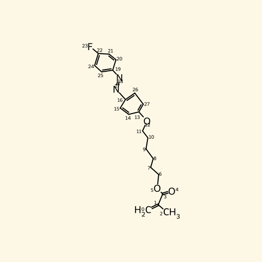 C=C(C)C(=O)OCCCCCCOc1ccc(/N=N/c2ccc(F)cc2)cc1